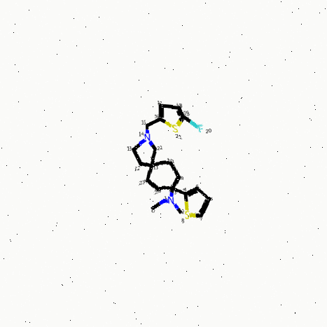 CN(C)C1(c2cccs2)CCC2(CCN(Cc3ccc(F)s3)C2)CC1